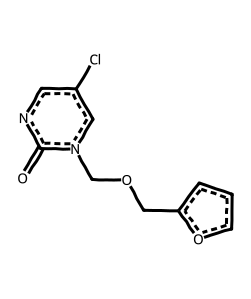 O=c1ncc(Cl)cn1COCc1ccco1